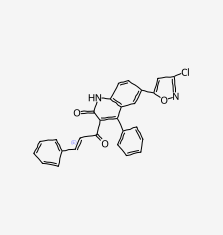 O=C(/C=C/c1ccccc1)c1c(-c2ccccc2)c2cc(-c3cc(Cl)no3)ccc2[nH]c1=O